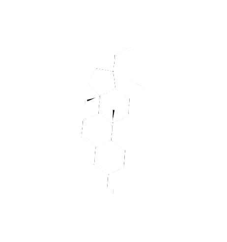 CC[C@]1(O)CC[C@H]2[C@@H]3CC=C4C=C(O)CC[C@@H]4[C@H]3CC[C@@]21CC